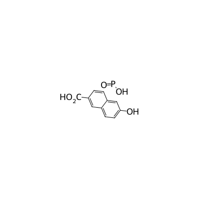 O=C(O)c1ccc2cc(O)ccc2c1.O=PO